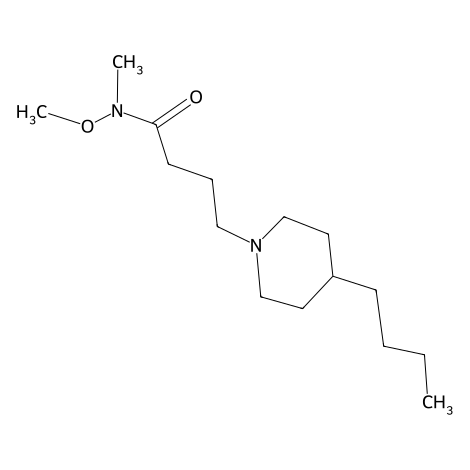 CCCCC1CCN(CCCC(=O)N(C)OC)CC1